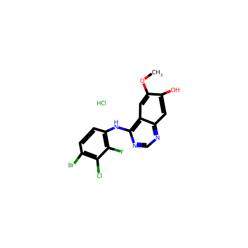 COc1cc2c(Nc3ccc(Br)c(Cl)c3F)ncnc2cc1O.Cl